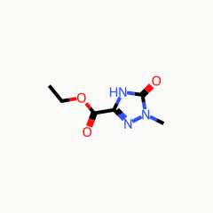 CCOC(=O)c1nn(C)c(=O)[nH]1